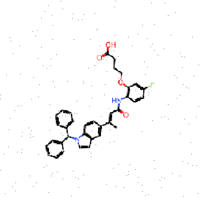 CC(=CC(=O)Nc1ccc(F)cc1OCCCC(=O)O)c1ccc2c(ccn2C(c2ccccc2)c2ccccc2)c1